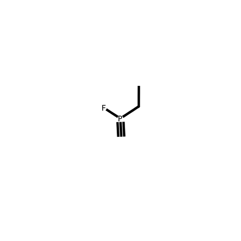 C#P(F)CC